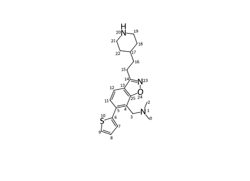 CN(C)Cc1c(-c2cccs2)ccc2c(CCC3CCNCC3)noc12